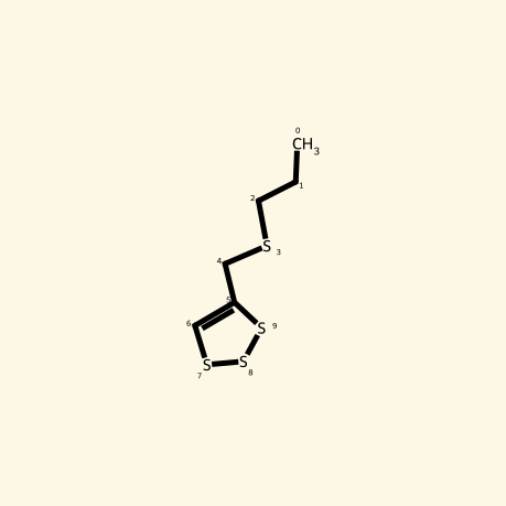 CCCSCC1=CSSS1